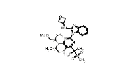 COC[C@@H](C)N1c2nc(-n3c(NC4COC4)nc4ccccc43)nc(C(C)(C)S(C)(=O)=O)c2OC[C@@H]1C